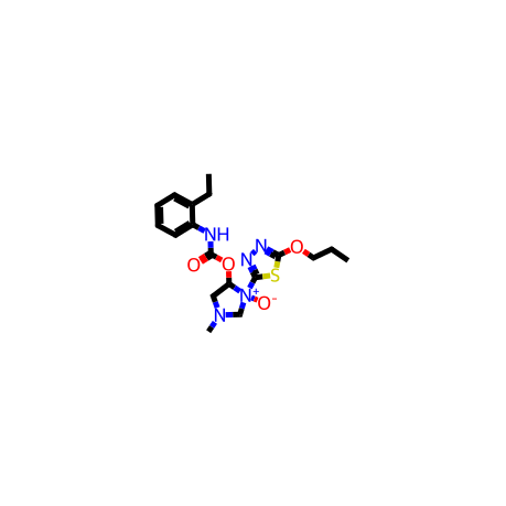 CCCOc1nnc([N+]2([O-])CN(C)CC2OC(=O)Nc2ccccc2CC)s1